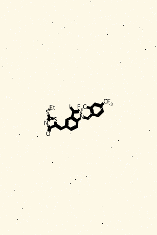 CCSC1=NC(=O)C(=Cc2ccc3c(c2)c(I)nn3Cc2ccc(C(F)(F)F)cc2C(F)(F)F)S1